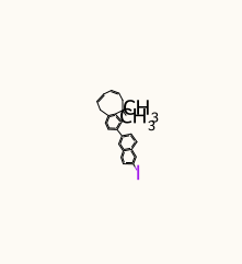 CC1(C)C/C=C\C=C/Cc2ccc(-c3ccc4cc(I)ccc4c3)cc21